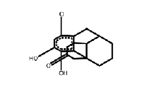 O=C1CCC2C3CCCC2(C1)c1c(O)c(O)cc(Cl)c1C3